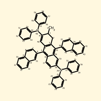 CC1Cc2c(c(-c3ccc4ccccc4c3)c3ccc(N(c4ccccc4)c4ccccc4)cc3c2-c2ccc3ccccc3c2)C=C1N(c1ccccc1)c1ccccc1